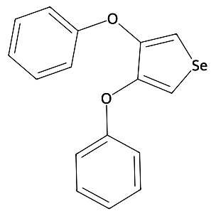 c1ccc(Oc2c[se]cc2Oc2ccccc2)cc1